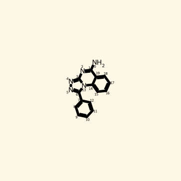 Nc1nc2nnc(-c3ccccc3)n2c2ccccc12